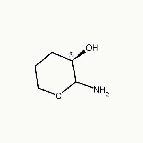 NC1OCCC[C@H]1O